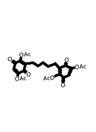 CC(=O)OC1=CC(=O)C(OC(C)=O)=C(CCCCCC2=C(OC(C)=O)C(=O)C=C(OC(C)=O)C2=O)C1=O